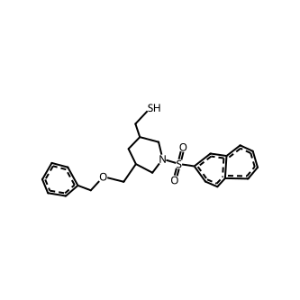 O=S(=O)(c1ccc2ccccc2c1)N1CC(CS)CC(COCc2ccccc2)C1